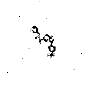 CN(Cc1cccnc1)C(=O)c1cn2c(-c3ccc(C(F)(F)F)cc3)cnc2cn1